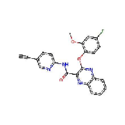 C#Cc1ccc(NC(=O)c2nc3ccccc3nc2Oc2ccc(F)cc2OC)nc1